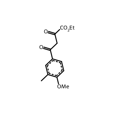 CCOC(=O)C(=O)CC(=O)c1ccc(OC)c(C)c1